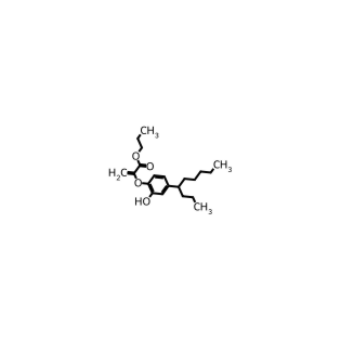 C=C(Oc1ccc(C(CCC)CCCCC)cc1O)C(=O)OCCC